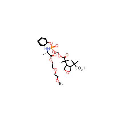 CCOCCOCCOC(=O)[C@H](C)NP(=O)(OCOC(=O)C(C)(C)C1COCC1C(C)(C)C(=O)O)Oc1ccccc1